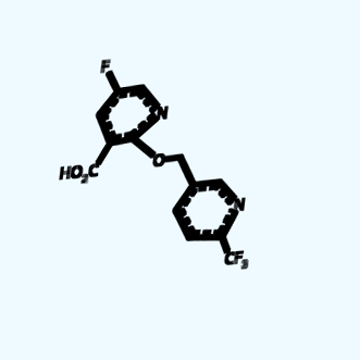 O=C(O)c1cc(F)cnc1OCc1ccc(C(F)(F)F)nc1